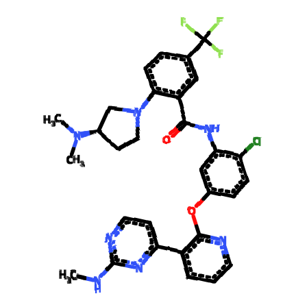 CNc1nccc(-c2cccnc2Oc2ccc(Cl)c(NC(=O)c3cc(C(F)(F)F)ccc3N3CC[C@@H](N(C)C)C3)c2)n1